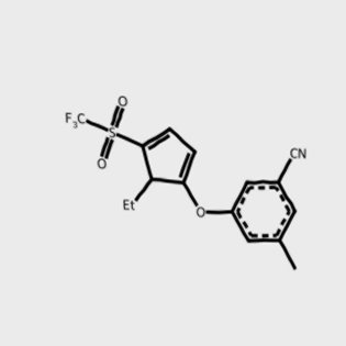 CCC1C(Oc2cc(C)cc(C#N)c2)=CC=C1S(=O)(=O)C(F)(F)F